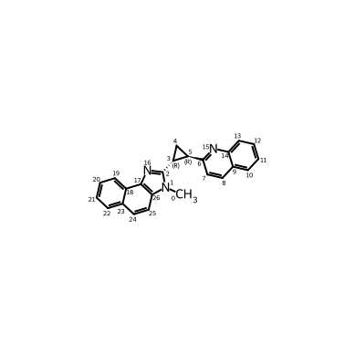 Cn1c([C@@H]2C[C@H]2c2ccc3ccccc3n2)nc2c3ccccc3ccc21